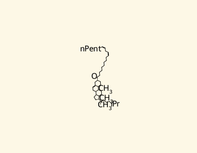 CCCCC/C=C\C/C=C\CCCCCCCCC(=O)[C@H]1CC[C@@]2(C)C(=CCC3C2CC[C@@]2(C)C3CC[C@@H]2[C@H](C)CCCC(C)C)C1